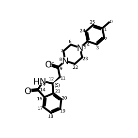 Cc1ccc(N2CCN(C(=O)C[C@@H]3NC(=O)c4ccccc43)CC2)cc1